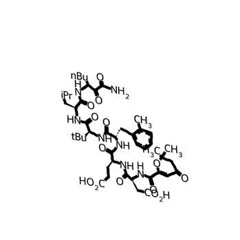 CCCCC(NC(=O)[C@H](CC(C)C)NC(=O)[C@@H](NC(=O)[C@H](Cc1ccccc1C)NC(=O)[C@H](CCC(=O)O)NC(=O)[C@H](CC(=O)O)NC(=O)C1=CC(=O)CC(C)(C)O1)C(C)(C)C)C(=O)C(N)=O